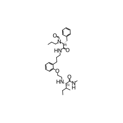 CCCN(C=O)[C@H](Cc1ccccc1)C(=O)NCCCc1ccccc1OCCN[C@H](C(=O)NC)C(C)CC